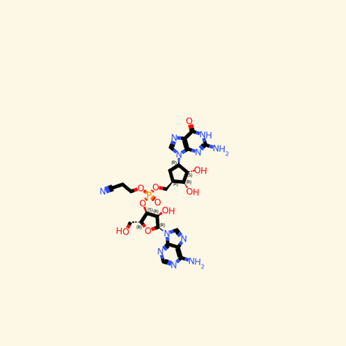 N#CCCOP(=O)(OC[C@H]1C[C@@H](n2cnc3c(=O)[nH]c(N)nc32)[C@H](O)[C@@H]1O)O[C@H]1[C@@H](O)[C@H](n2cnc3c(N)ncnc32)O[C@@H]1CO